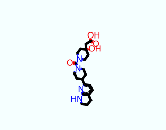 O=C(O)CC1(O)CCN(C(=O)N2CCC(c3ccc4c(n3)NCCC4)CC2)CC1